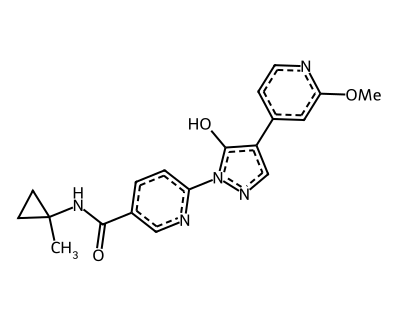 COc1cc(-c2cnn(-c3ccc(C(=O)NC4(C)CC4)cn3)c2O)ccn1